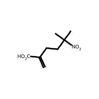 C=C(CCC(C)(C)[N+](=O)[O-])C(=O)O